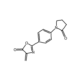 C=C1N=C(c2ccc(N3CCCC3=O)cc2)OC1=O